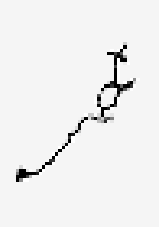 CCCCCCCCNC1CCC(C(C)(C)C)CC1